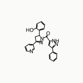 O=C(c1cc(-c2ccccc2)n[nH]1)N1N=C(c2cccnc2)CC1c1ccccc1O